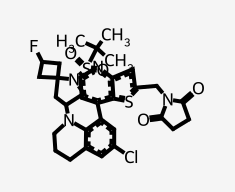 CC(C)(C)S(=O)(=O)N1CC(N2CCCc3cc(Cl)cc(-c4ccnc5cc(CN6C(=O)CCC6=O)sc45)c32)CC12CC(F)C2